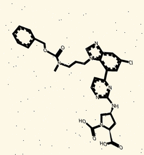 CN(CCCn1cnc2cc(Cl)cc(-c3ccnc(N[C@H]4C[C@@H](C(=O)O)N(C(=O)O)C4)n3)c21)C(=O)OCc1ccccc1